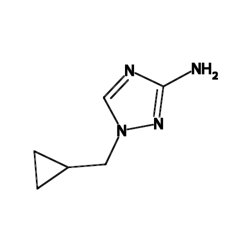 Nc1ncn(CC2CC2)n1